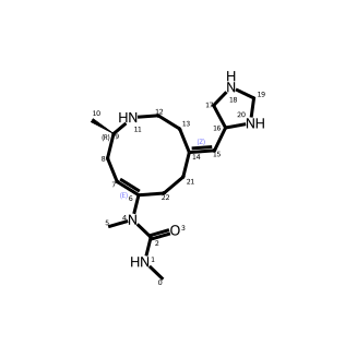 CNC(=O)N(C)/C1=C/C[C@@H](C)NCC/C(=C\C2CNCN2)CC1